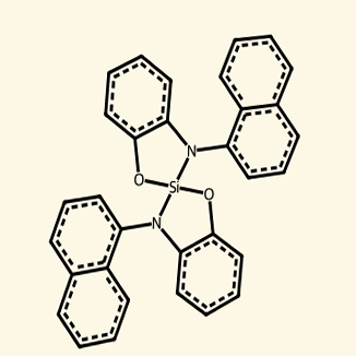 c1ccc2c(c1)O[Si]1(Oc3ccccc3N1c1cccc3ccccc13)N2c1cccc2ccccc12